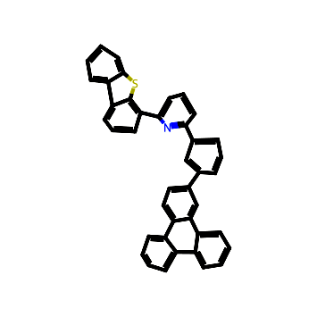 c1cc(-c2ccc3c4ccccc4c4ccccc4c3c2)cc(-c2cccc(-c3cccc4c3sc3ccccc34)n2)c1